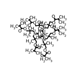 C=C(C)C(=O)OCC(C)(C)CN(CC(C)(C)COC(=O)C(=C)C)c1nc(N(CC(C)(C)COC(=O)C(=C)C)CC(C)(C)COC(=O)C(=C)C)nc(N(CC(C)(C)COC(=O)C(=C)C)CC(C)(C)COC(=O)C(=C)C)n1